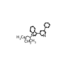 CC(CN(C)C)n1cc(-c2cncc(-c3ccccc3)c2)c2ccccc21